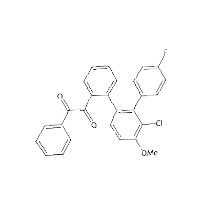 COc1ccc(-c2ccccc2C(=O)C(=O)c2ccccc2)c(-c2ccc(F)cc2)c1Cl